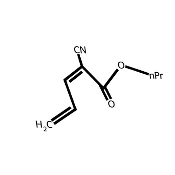 C=CC=C(C#N)C(=O)OCCC